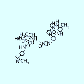 Cc1ccc(NC(=O)c2ccc(CN3CCN(C(=O)CCCC(=O)N[C@H](C(=O)N4C[C@H](O)C[C@H]4C(=O)NCc4ccc(-c5scnc5C)cc4)C(C)(C)C)CC3)cc2)cc1Nc1nccc(-c2cccnc2)n1